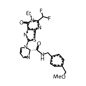 CCn1c(C(F)F)nc2sc(N3C=CC=N[C@H]3C(=O)NCc3ccc(COC)cc3)nc2c1=O